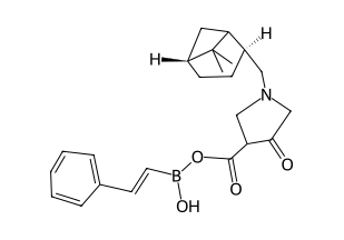 CC1(C)C2C[C@H]1CC[C@@H]2CN1CC(=O)C(C(=O)OB(O)/C=C/c2ccccc2)C1